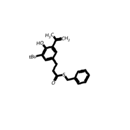 C=C(C)c1cc(CCC(=O)SCc2ccccc2)cc(C(C)(C)C)c1O